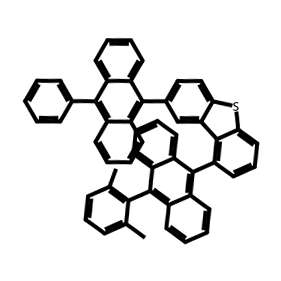 Cc1cccc(C)c1-c1c2ccccc2c(-c2cccc3sc4ccc(-c5c6ccccc6c(-c6ccccc6)c6ccccc56)cc4c23)c2ccccc12